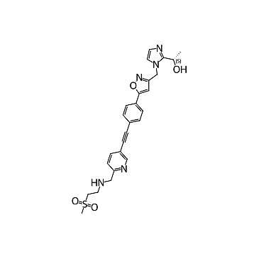 C[C@H](O)c1nccn1Cc1cc(-c2ccc(C#Cc3ccc(CNCCS(C)(=O)=O)nc3)cc2)on1